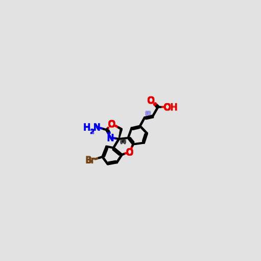 NC1=N[C@@]2(CO1)c1cc(Br)ccc1Oc1ccc(/C=C/C(=O)O)cc12